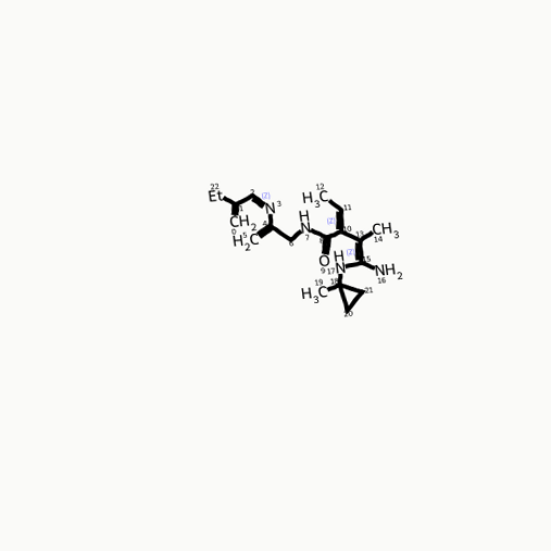 C=C(/C=N\C(=C)CNC(=O)C(=C\C)/C(C)=C(/N)NC1(C)CC1)CC